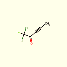 CC#CC(=O)C(F)(Cl)Cl